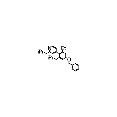 [CH2]Cc1cc(OCc2ccccc2)cc(CC(C)C)c1-c1ccnc(CC(C)C)c1